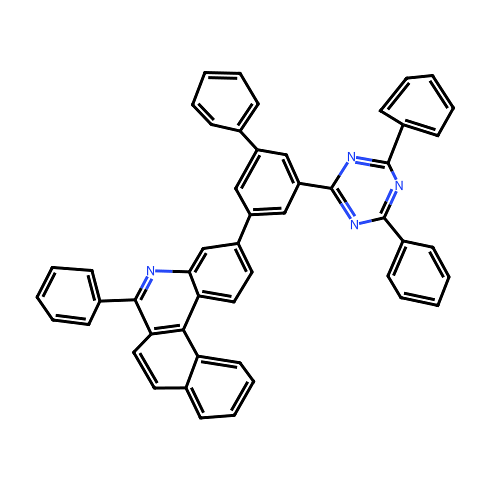 c1ccc(-c2cc(-c3ccc4c(c3)nc(-c3ccccc3)c3ccc5ccccc5c34)cc(-c3nc(-c4ccccc4)nc(-c4ccccc4)n3)c2)cc1